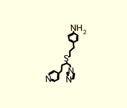 Nc1ccc(CCCSC(CCc2ccncc2)Cn2ccnc2)cc1